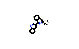 CC(C)(C)C1(C)Cc2ccccc2C(c2cnc3ccccc3c2)=N1